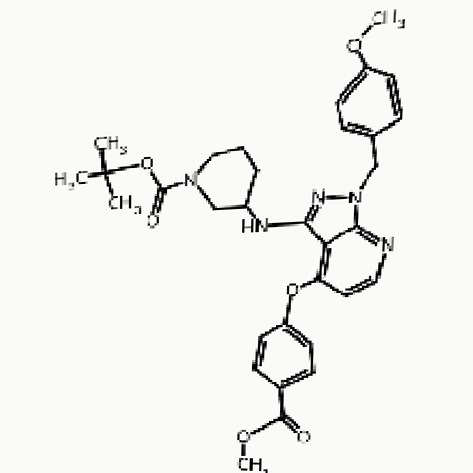 COC(=O)c1ccc(Oc2ccnc3c2c(NC2CCCN(C(=O)OC(C)(C)C)C2)nn3Cc2ccc(OC)cc2)cc1